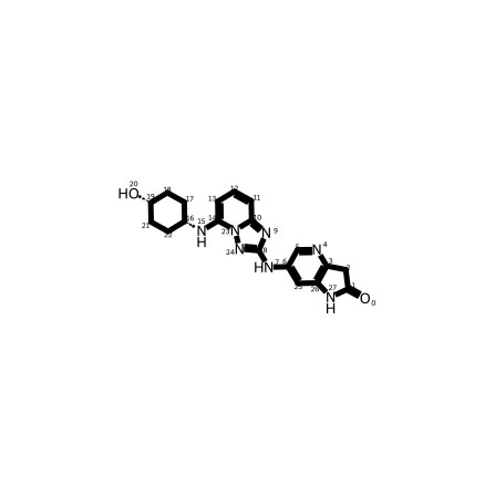 O=C1Cc2ncc(Nc3nc4cccc(N[C@H]5CC[C@@H](O)CC5)n4n3)cc2N1